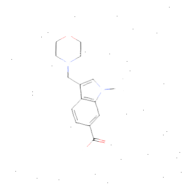 Cn1cc(CN2CCOCC2)c2ccc(C(=O)O)cc21.[KH]